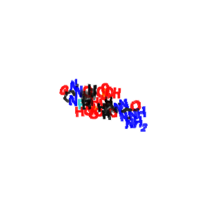 Nc1nc2c(ncn2[C@@H]2O[C@@H]3COP(=O)(O)O[C@H]4[C@@H](F)[C@H](n5cnc6c5N=CCC6=O)O[C@@H]4COP(=O)(O)O[C@@H]2[C@@H]3O)c(=O)[nH]1